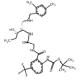 CC[C@H](O)[C@H](CNCc1ccc(C)cc1C)NC(=O)CNC(=O)c1cc(C(F)(F)F)ccc1NC(=O)OC(C)(C)C